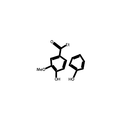 CCC(=O)c1ccc(O)c(OC)c1.Oc1ccccc1